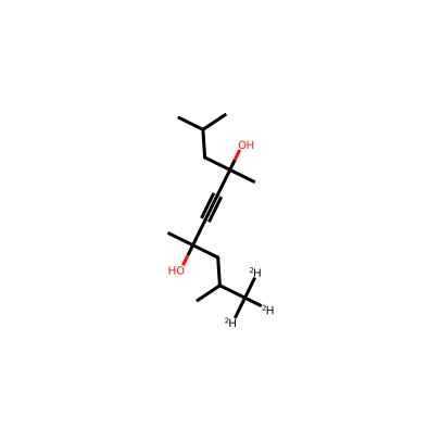 [2H]C([2H])([2H])C(C)CC(C)(O)C#CC(C)(O)CC(C)C